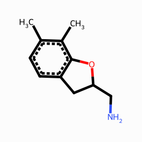 Cc1ccc2c(c1C)OC(CN)C2